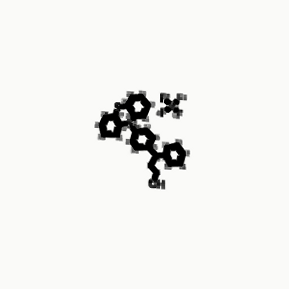 F[B-](F)(F)F.OCCC(c1ccccc1)c1ccc([S+]2c3ccccc3Sc3ccccc32)cc1